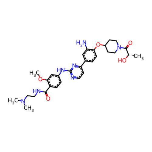 COc1cc(Nc2nccc(-c3ccc(OC4CCN(C(=O)[C@H](C)O)CC4)c(N)c3)n2)ccc1C(=O)NCCN(C)C